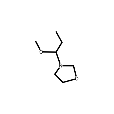 CCC(OC)N1CCOC1